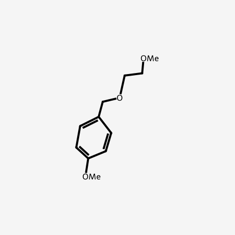 COCCOCc1ccc(OC)cc1